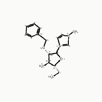 CC[C@H]1OC([n+]2ccn(C)c2)[C@@H](OCc2ccccc2)[C@@H]1C